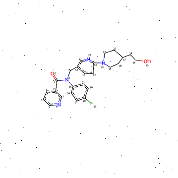 O=C(c1cccnc1)N(Cc1ccc(N2CCC(CCO)CC2)nc1)c1ccc(F)cc1